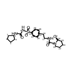 O=C(NC1CCCC1)NS(=O)(=O)c1ccc(CCNC(=O)N2CCCCC2=O)cc1